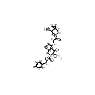 C[C@H]1C(=O)N2C(CN1C(=O)OCc1ccccc1)OC[C@@H]2CCC(=O)N1CCC2(CC2)[C@H](O)C1